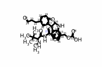 CNC(C(=O)N/C(=C/[C@@]12c3ccccc3NC1Oc1ccc(CCC=O)cc12)c1nc(COC(=O)O)co1)C(C)(C)C